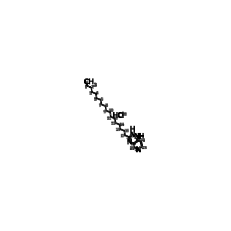 CCCCCCCCCCCCCCCCCCC1=Nc2cnccc2NN1.Cl